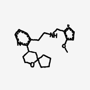 COc1ccsc1CNCCc1cccnc1C1CCOC2(CCCC2)C1